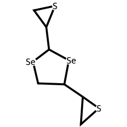 C1SC1C1C[Se]C(C2CS2)[Se]1